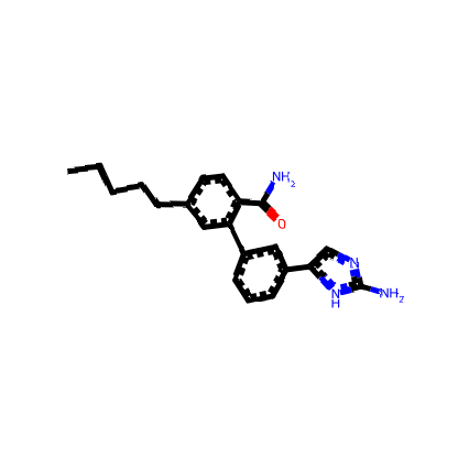 CCCCCc1ccc(C(N)=O)c(-c2cccc(-c3cnc(N)[nH]3)c2)c1